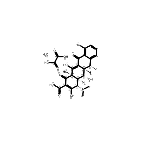 C[C@H]1c2cccc(O)c2C(=O)C2=C(O)[C@]3(O)C(=O)C(C(N)=O)=C(O)[C@@H](N(C)C)[C@@H]3[C@@H](O)[C@@H]21.O.O=C(O)C(=O)O